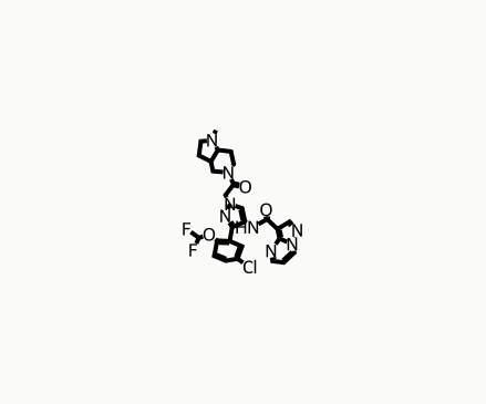 CN1CCC2CN(C(=O)Cn3cc(NC(=O)c4cnn5cccnc45)c(-c4cc(Cl)ccc4OC(F)F)n3)CCC21